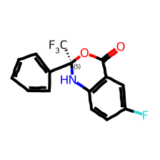 O=C1O[C@@](c2ccccc2)(C(F)(F)F)Nc2ccc(F)cc21